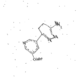 COc1cncc(C2=NN=C(N)CC2)c1